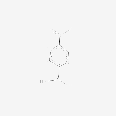 CN(C)c1cnc([N+](=O)[O-])cn1